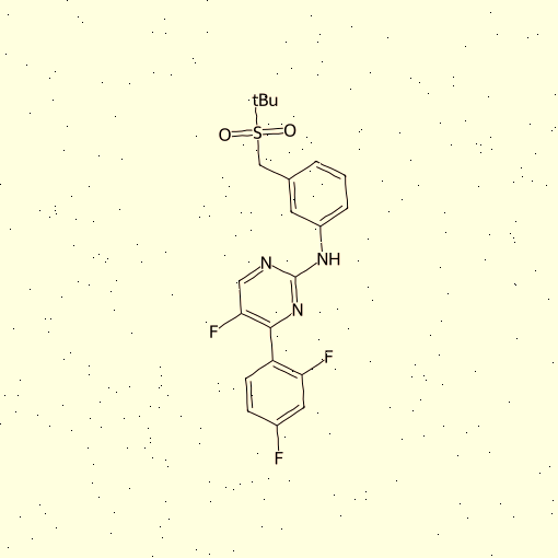 CC(C)(C)S(=O)(=O)Cc1cccc(Nc2ncc(F)c(-c3ccc(F)cc3F)n2)c1